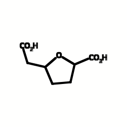 O=C(O)CC1CCC(C(=O)O)O1